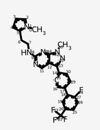 Cn1cccc1CCNc1ncc2c(-c3[c]cc(-c4cc(C(F)(F)F)ccc4F)cc3)nn(C)c2n1